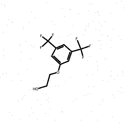 OCCOc1cc(C(F)(F)F)cc(C(F)(F)F)c1